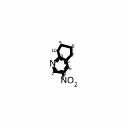 O=[N+]([O-])c1cnc2c(c1)CCCC2